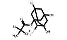 CCC(C)(C)C(=O)OC12CC3(O)CC(O)(CC(O)(C3)C1C)C2